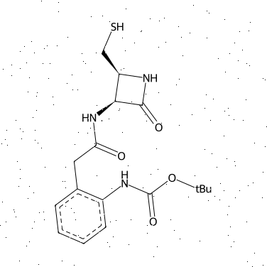 CC(C)(C)OC(=O)Nc1ccccc1CC(=O)N[C@@H]1C(=O)N[C@@H]1CS